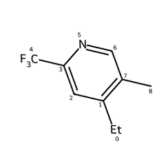 CCc1cc(C(F)(F)F)ncc1C